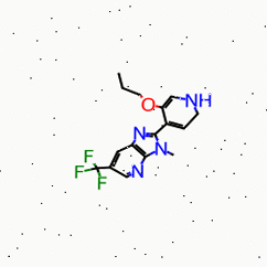 CCCOC1=CNCC=C1c1nc2cc(C(F)(F)F)cnc2n1C